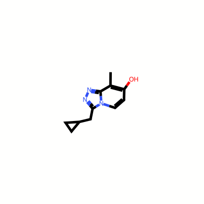 Cc1c(O)ccn2c(CC3CC3)nnc12